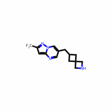 FC(F)(F)c1cc2ncc(CC3CC4(CNC4)C3)cn2n1